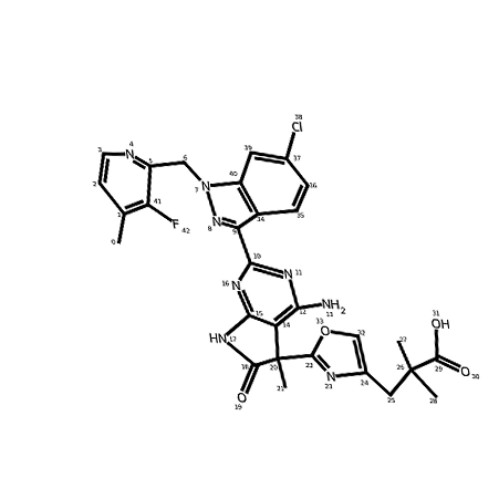 Cc1ccnc(Cn2nc(-c3nc(N)c4c(n3)NC(=O)C4(C)c3nc(CC(C)(C)C(=O)O)co3)c3ccc(Cl)cc32)c1F